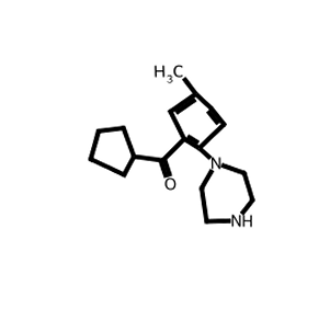 Cc1ccc(N2CCNCC2)c(C(=O)C2CCCC2)c1